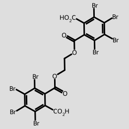 O=C(O)c1c(Br)c(Br)c(Br)c(Br)c1C(=O)OCCOC(=O)c1c(Br)c(Br)c(Br)c(Br)c1C(=O)O